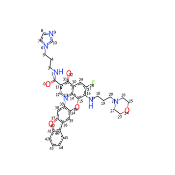 O=C(NCCCn1ccnc1)c1cn2c3c(c(NCCCN4CCOCC4)c(F)cc3c1=O)Oc1cc3c(cc1-2)oc1ccccc13